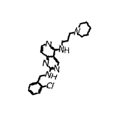 Clc1ccccc1CNc1ncc2c(NCCCN3CCCCC3)nccc2n1